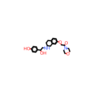 O=C(COc1ccc2c(c1)CC(NCC(O)c1ccc(O)cc1)CC2)N1CCOCC1